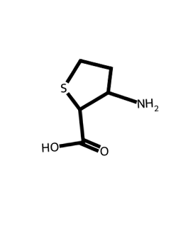 NC1CCSC1C(=O)O